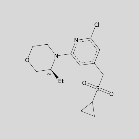 CC[C@H]1COCCN1c1cc(CS(=O)(=O)C2CC2)cc(Cl)n1